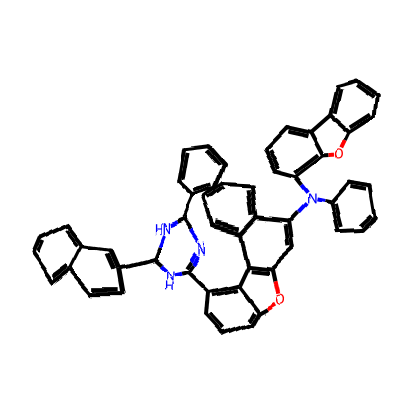 c1ccc(C2N=C(c3cccc4oc5cc(N(c6ccccc6)c6cccc7c6oc6ccccc67)c6ccccc6c5c34)NC(c3ccc4ccccc4c3)N2)cc1